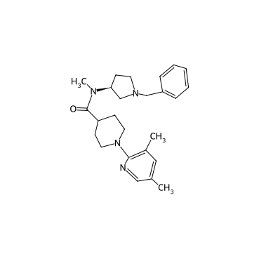 Cc1cnc(N2CCC(C(=O)N(C)[C@H]3CCN(Cc4ccccc4)C3)CC2)c(C)c1